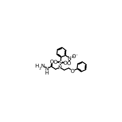 NNC(=O)CN(CCOc1ccccc1)S(=O)(=O)c1ccccc1[N+](=O)[O-]